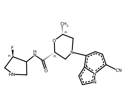 C[C@@H]1CN(c2ccc(C#N)n3nccc23)C[C@H](C(=O)NC2CNC[C@H]2F)O1